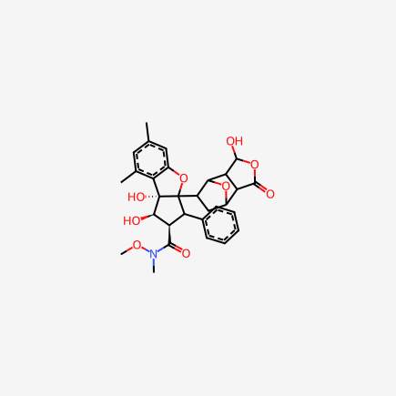 CON(C)C(=O)[C@@H]1C(c2ccccc2)C2(C3CC4OC3C3C(O)OC(=O)C43)Oc3cc(C)cc(C)c3[C@]2(O)[C@@H]1O